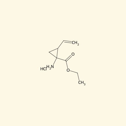 C=CC1CC1(N)C(=O)OCC.Cl